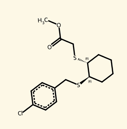 COC(=O)CS[C@@H]1CCCC[C@H]1SCc1ccc(Cl)cc1